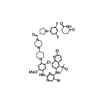 CCc1ccc2c(P(C)(C)=O)c(Nc3nc(Nc4cc(CC)c(N5CCC(N6CCN(C(=O)[C@@H]7CCN(c8cc(F)c([C@H]9CCC(=O)NC9=O)c(F)c8)C7)CC6)CC5)cc4OC)ncc3Br)ccc2n1